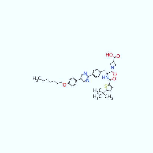 CCCCCCCOc1ccc(-c2cnc(-c3ccc(C[C@@H](NC(=O)c4ccc(C(C)(C)C)s4)C(=O)N4CC(C(=O)O)C4)cc3)nc2)cc1